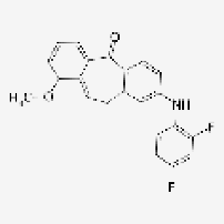 COC1C=CC=C2C(=O)c3ccc(Nc4ccc(F)cc4F)cc3CC=C21